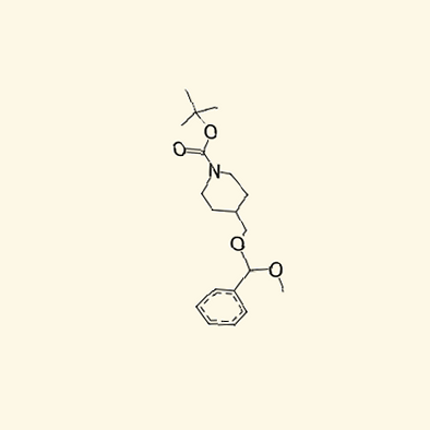 COC(OCC1CCN(C(=O)OC(C)(C)C)CC1)c1ccccc1